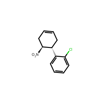 O=[N+]([O-])[C@H]1CC=CC[C@@H]1c1ccccc1Cl